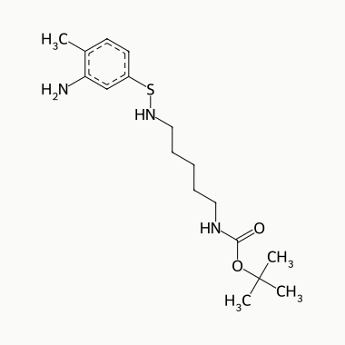 Cc1ccc(SNCCCCCNC(=O)OC(C)(C)C)cc1N